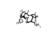 C=N/C=c1/c(N2CCNCC2)nc(OC)n/c1=C(\F)Cc1cc(F)c(F)c2sc(N)c(C#N)c12